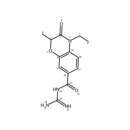 CCN1C(=O)C(C)Oc2cc(C(=O)NC(=N)N)ccc21